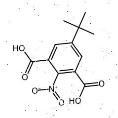 CC(C)(C)c1cc(C(=O)O)c([N+](=O)[O-])c(C(=O)O)c1